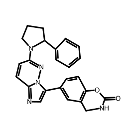 O=C1NCc2cc(-c3cnc4ccc(N5CCCC5c5ccccc5)nn34)ccc2O1